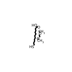 COCCOC.O=C(O)CCCCCCCCCCS